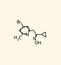 Cc1cc(Br)cc(CC(=NO)C2CC2)n1